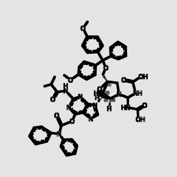 COc1ccc(C(OC[C@@]23CN(C(NC(=O)O)NC(=O)O)[C@@H]([C@H](n4cnc5c(OC(=O)N(c6ccccc6)c6ccccc6)nc(NC(=O)C(C)C)nc54)O2)[C@@H]3O)(c2ccccc2)c2ccc(OC)cc2)cc1